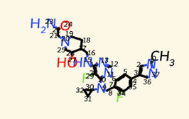 Cn1cc(-c2ccc(CN(c3ncnc(NCC4CCN(CC(N)=O)CC4O)c3F)C3CC3)c(F)c2)cn1